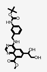 COC(=O)c1cc(C(O)CO)cc2c(NCc3cccc(NC(=O)OC(C)(C)C)c3)ncnc12